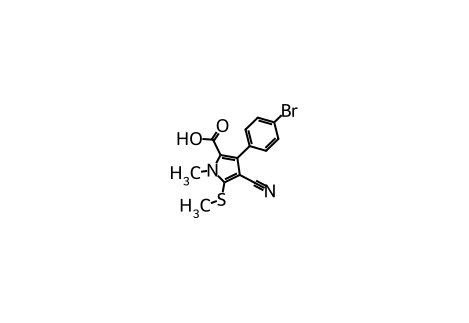 CSc1c(C#N)c(-c2ccc(Br)cc2)c(C(=O)O)n1C